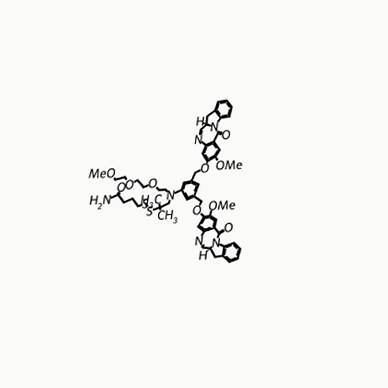 COCCOCCOCCN(CC(C)(C)SSCCCC(N)=O)c1cc(COc2cc3c(cc2OC)C(=O)N2c4ccccc4C[C@H]2C=N3)cc(COc2cc3c(cc2OC)C(=O)N2c4ccccc4C[C@H]2C=N3)c1